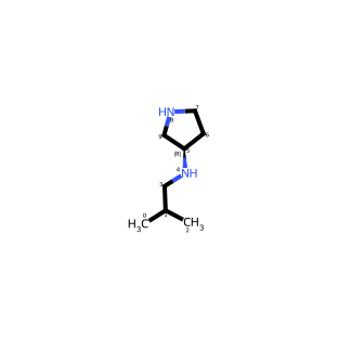 CC(C)CN[C@@H]1CCNC1